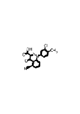 Cc1ccc(-n2nc(C(=O)O)c(=O)c3c(C#N)cccc32)cc1Cl